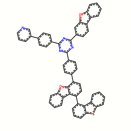 c1cncc(-c2ccc(-c3nc(-c4ccc(-c5ccc(-c6cccc7sc8ccccc8c67)c6c5oc5ccccc56)cc4)nc(-c4ccc5c(c4)oc4ccccc45)n3)cc2)c1